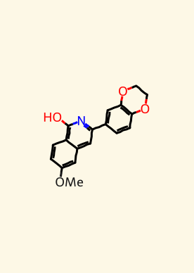 COc1ccc2c(O)nc(-c3ccc4c(c3)OCCO4)cc2c1